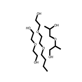 CC(O)COC(C)CO.CCCCOCCOCCO.OCCOCCO